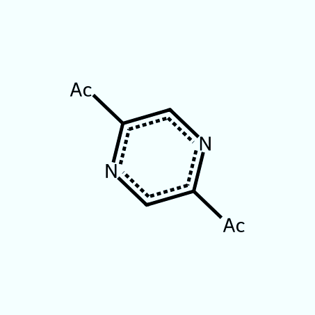 CC(=O)c1cnc(C(C)=O)cn1